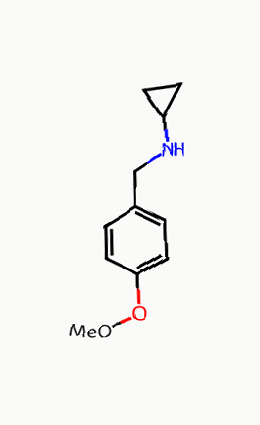 COOc1ccc(CNC2CC2)cc1